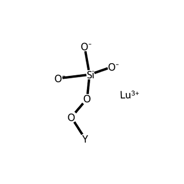 [Lu+3].[O-][Si]([O-])([O-])O[O][Y]